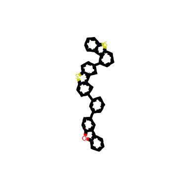 c1cc(-c2ccc3oc4ccccc4c3c2)cc(-c2ccc3sc4ccc(-c5cccc6sc7ccccc7c56)cc4c3c2)c1